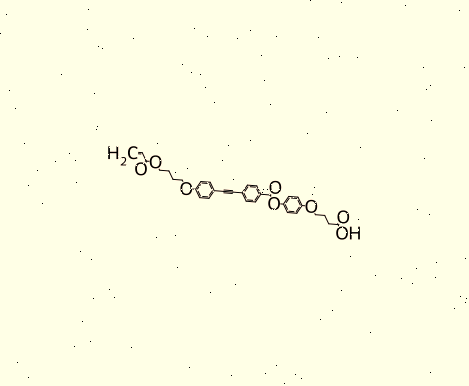 C=CC(=O)OCCCCOc1ccc(C#Cc2ccc(C(=O)Oc3ccc(OCCCC(=O)O)cc3)cc2)cc1